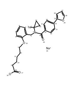 [2H]C1(N(Cc2ccccc2OCCCCCC(=O)[O-])C(=O)c2ccc(-c3ccco3)cc2)CC1.[Na+]